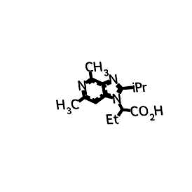 CCC(C(=O)O)n1c(C(C)C)nc2c(C)nc(C)cc21